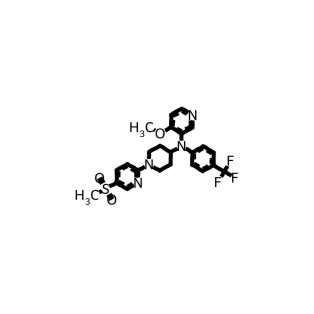 COc1ccncc1N(c1ccc(C(F)(F)F)cc1)C1CCN(c2ccc(S(C)(=O)=O)cn2)CC1